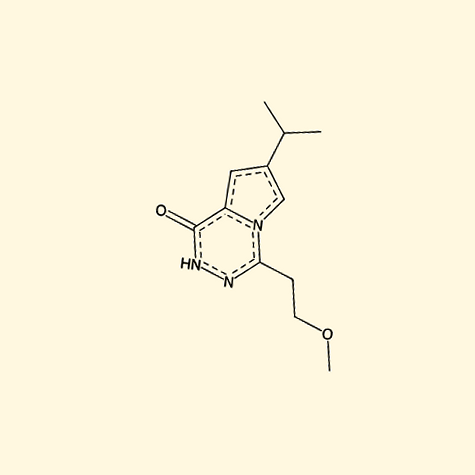 COCCc1n[nH]c(=O)c2cc(C(C)C)cn12